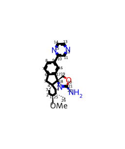 CO[C@H]1CC[C@@]2(Cc3ccc(-c4cnccn4)cc3[C@@]23COC(N)=N3)C[C@@H]1C